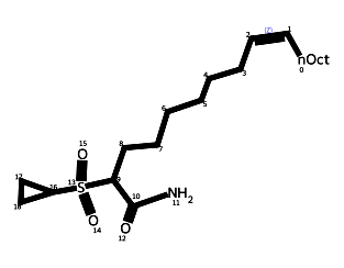 CCCCCCCC/C=C\CCCCCCC(C(N)=O)S(=O)(=O)C1CC1